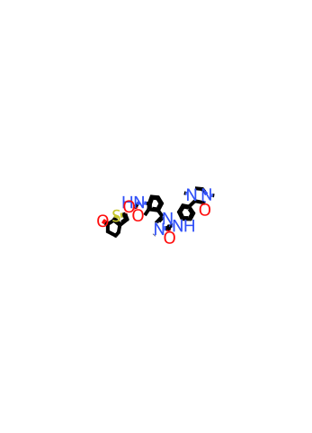 Cc1c(NC(=O)Oc2cc3c(s2)C(=O)CCC3)cccc1-c1cn(C)c(=O)c(Nc2ccc(C3C(=O)N(C)CCN3C)cc2)n1